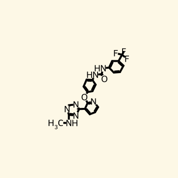 CNc1ncnc(-c2cccnc2Oc2ccc(NC(=O)Nc3cccc(C(F)(F)F)c3)cc2)n1